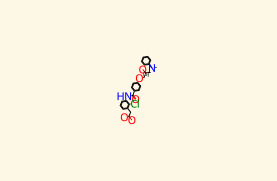 COC(=O)Cc1cccc(NC(=O)c2ccc(OC[C@@H]3CN(C)c4ccccc4O3)cc2)c1Cl